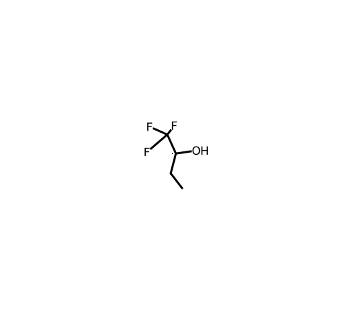 CC[C](O)C(F)(F)F